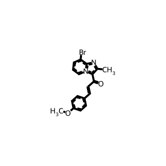 COc1ccc(/C=C/C(=O)c2c(C)nc3c(Br)cccn23)cc1